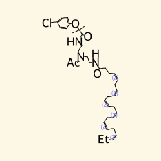 CC/C=C\C/C=C\C/C=C\C/C=C\C/C=C\C/C=C\CCC(=O)NCCN(CCNC(=O)C(C)(C)Oc1ccc(Cl)cc1)C(C)=O